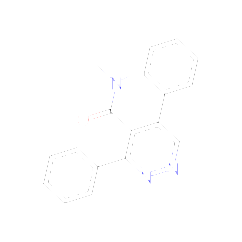 CN(C)C(=O)c1c(-c2ccccc2)cnnc1-c1ccccc1